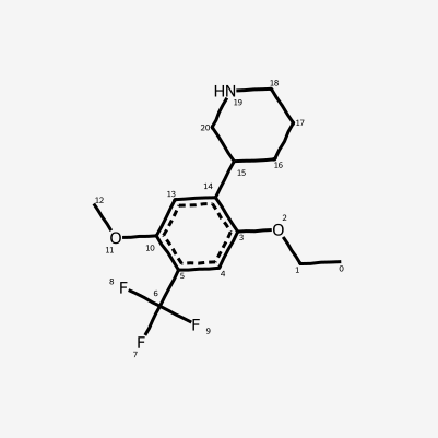 CCOc1cc(C(F)(F)F)c(OC)cc1C1CCCNC1